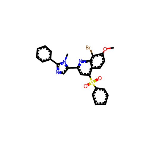 COc1ccc2c(S(=O)(=O)c3ccccc3)cc(-c3cnc(-c4ccccc4)n3C)nc2c1Br